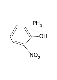 O=[N+]([O-])c1ccccc1O.P